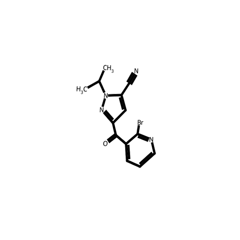 CC(C)n1nc(C(=O)c2cccnc2Br)cc1C#N